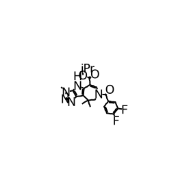 CC(C)OC(=O)C1=CN(C(=O)c2ccc(F)c(F)c2)CC(C)(C)c2c1[nH]c1c2nnn1C